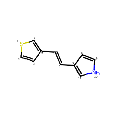 C(=Cc1ccsc1)c1cc[nH]c1